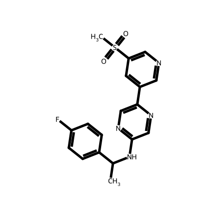 CC(Nc1cnc(-c2cncc(S(C)(=O)=O)c2)cn1)c1ccc(F)cc1